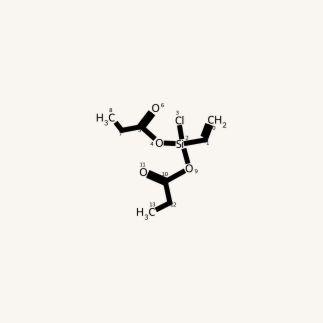 C=C[Si](Cl)(OC(=O)CC)OC(=O)CC